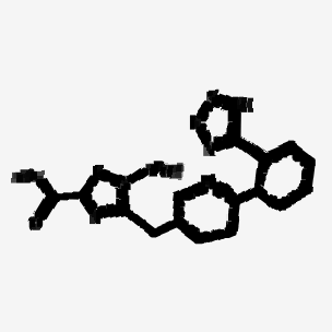 CCCCCn1nc(C(=O)CCCC)nc1Cc1ccc(-c2ccccc2-c2nnn[nH]2)nc1